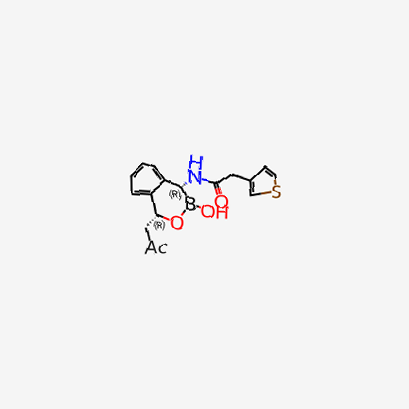 CC(=O)C[C@H]1OB(O)[C@@H](NC(=O)Cc2ccsc2)c2ccccc21